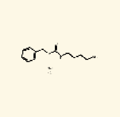 Cl.Cl.NCCCCNC(=O)OCc1ccccc1